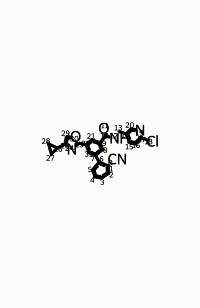 N#Cc1ccccc1-c1cc(C(=O)NCc2ccc(Cl)nc2)cc(-c2nc(C3CC3)co2)c1